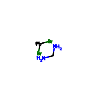 NCN.[Br][Pb][Br]